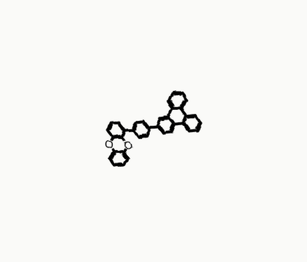 c1ccc2c(c1)Oc1cccc(-c3ccc(-c4ccc5c6ccccc6c6ccccc6c5c4)cc3)c1O2